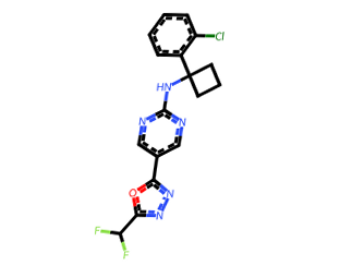 FC(F)c1nnc(-c2cnc(NC3(c4ccccc4Cl)CCC3)nc2)o1